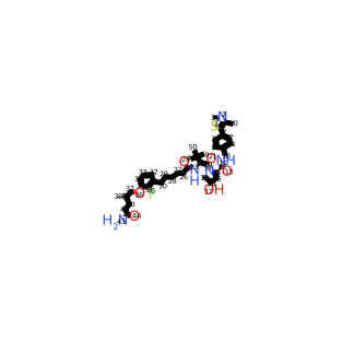 Cc1ncsc1-c1ccc(CNC(=O)[C@@H]2C[C@@H](O)CN2C(=O)[C@@H](NC(=O)CCCCCc2cccc(OC[C@@H](C)CCC(N)=O)c2F)C(C)(C)C)cc1